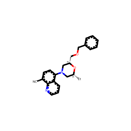 CC[C@@H]1CN(c2ccc(C#N)c3ncccc23)C[C@H](COCc2ccccc2)O1